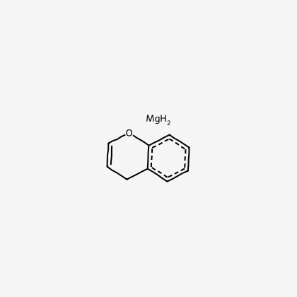 C1=COc2ccccc2C1.[MgH2]